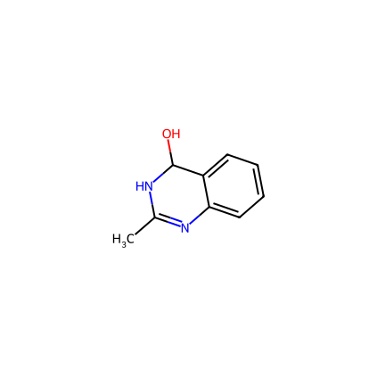 CC1=Nc2ccccc2C(O)N1